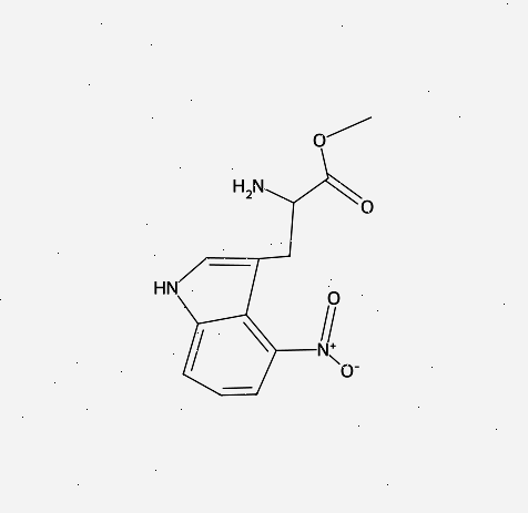 COC(=O)C(N)Cc1c[nH]c2cccc([N+](=O)[O-])c12